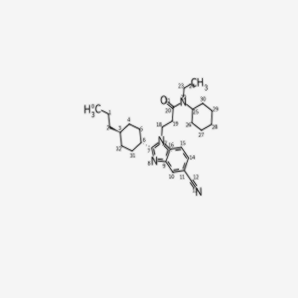 CCC[C@H]1CC[C@H](c2nc3cc(C#N)ccc3n2CCC(=O)N(CC)C2CCCCC2)CC1